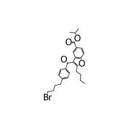 CCCCc1oc2ccc(C(=O)OC(C)C)cc2c1C(=O)c1ccc(CCCCBr)cc1